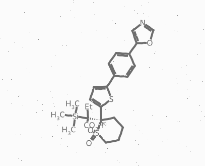 CCC(C(=O)O)([C@]1(c2ccc(-c3ccc(-c4cnco4)cc3)s2)CCCCS1(=O)=O)[Si](C)(C)C